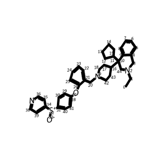 CCN1Cc2ccccc2C(C2CCCC2)(C2CCN(Cc3ccccc3Oc3ccc([S+]([O-])c4ccncc4)cc3)CC2)C1